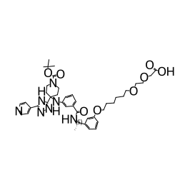 C[C@H](NC(=O)c1cccc(NC2(c3nnc(-c4ccncc4)[nH]3)CCN(C(=O)OC(C)(C)C)CC2)c1)c1cccc(OCCCCCCOCCOCC(=O)O)c1